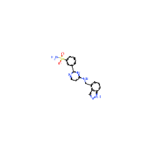 NS(=O)(=O)c1cccc(-c2nccc(NCc3cccc4[nH]ncc34)n2)c1